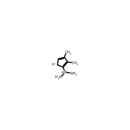 CC1=CC[C]([Hf+]([SiH3])[SiH3])=C1C.[Br-]